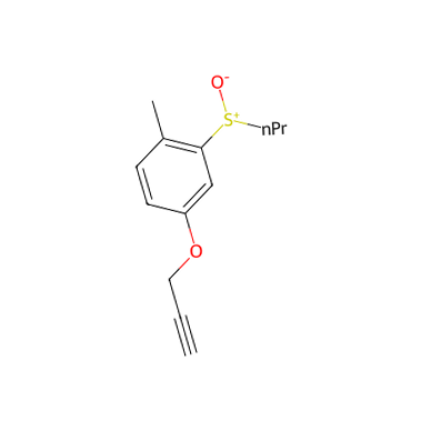 C#CCOc1ccc(C)c([S+]([O-])CCC)c1